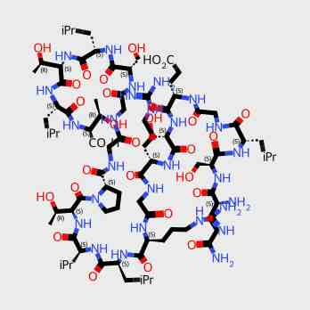 CC(C)C[C@H](NC(=O)[C@H](CO)NC(=O)[C@@H](N)CCC(N)=O)C(=O)NCC(=O)N[C@@H](CCC(=O)O)C(=O)N[C@@H](CO)C(=O)N[C@@H](CCCNC(=N)N)C(=O)NCC(=O)N[C@@H](CCCNC(=N)N)C(=O)N[C@@H](CC(C)C)C(=O)N[C@H](C(=O)N[C@H](C(=O)N1CCC[C@H]1C(=O)NCC(=O)NCC(=O)N[C@@H](CO)C(=O)N[C@@H](CC(C)C)C(=O)N[C@H](C(=O)N[C@@H](CC(C)C)C(=O)N[C@H](C(=O)O)[C@@H](C)O)[C@@H](C)O)[C@@H](C)O)C(C)C